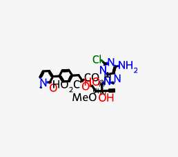 C#C[C@@](O)([C@@H](COC(Cc1ccc(-c2cccn(C)c2=O)cc1)(C(=O)O)C(=O)O)OC)[C@@H](O)n1cnc2c(N)nc(Cl)nc21